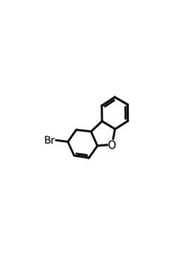 BrC1C=CC2OC3C=CC=CC3C2C1